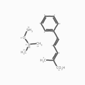 CC(=CC=Cc1ccccc1)C(=O)O.C[SiH](C)O[SiH3]